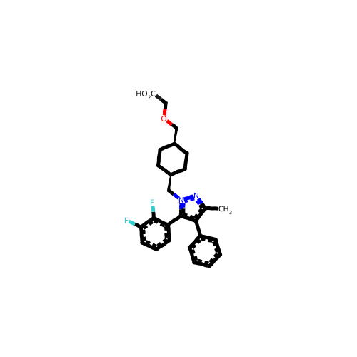 Cc1nn(C[C@H]2CC[C@@H](COCC(=O)O)CC2)c(-c2cccc(F)c2F)c1-c1ccccc1